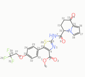 COC(=O)c1nc(NC(=O)C2CCC(=O)c3cccn32)sc1-c1ccc(OCC(F)(F)F)cc1